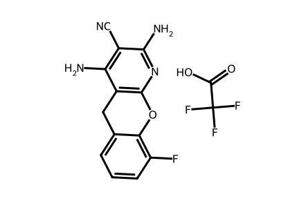 N#Cc1c(N)nc2c(c1N)Cc1cccc(F)c1O2.O=C(O)C(F)(F)F